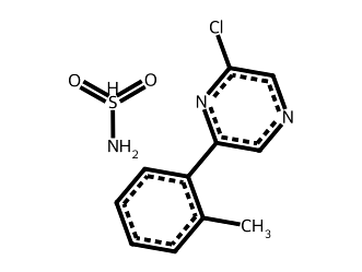 Cc1ccccc1-c1cncc(Cl)n1.N[SH](=O)=O